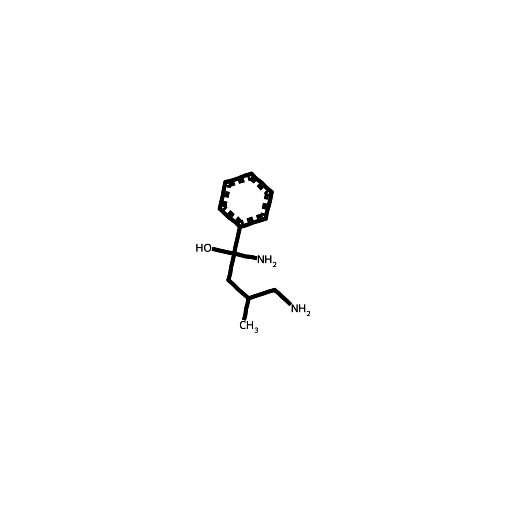 CC(CN)CC(N)(O)c1ccccc1